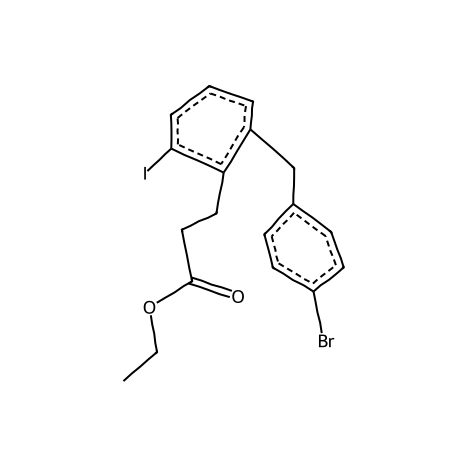 CCOC(=O)CCc1c(I)cccc1Cc1ccc(Br)cc1